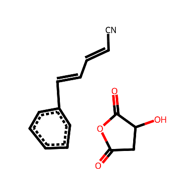 N#CC=CC=Cc1ccccc1.O=C1CC(O)C(=O)O1